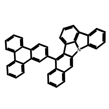 c1ccc2c(-c3ccc4c5ccccc5c5ccccc5c4c3)c3c4cccc5c6ccccc6n(c3cc2c1)c54